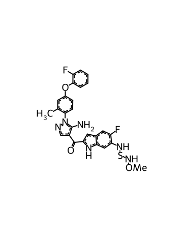 CONSNc1cc2[nH]c(C(=O)c3cnn(-c4ccc(Oc5ccccc5F)cc4C)c3N)cc2cc1F